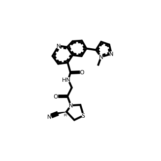 Cn1nccc1-c1ccc2nccc(C(=O)NCC(=O)N3CSC[C@H]3C#N)c2c1